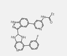 CCC(=O)Nc1cncc(-c2ccc3[nH]nc(C4Nc5cncc(-c6cccc(F)c6)c5N4)c3c2)c1